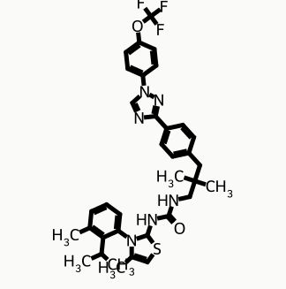 CC1=CSC(NC(=O)NCC(C)(C)Cc2ccc(-c3ncn(-c4ccc(OC(F)(F)F)cc4)n3)cc2)N1c1cccc(C)c1C(C)C